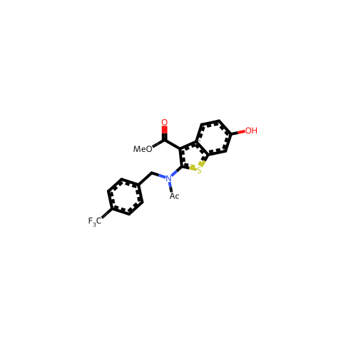 COC(=O)c1c(N(Cc2ccc(C(F)(F)F)cc2)C(C)=O)sc2cc(O)ccc12